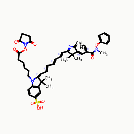 C=C1N=C(/C=C/C=C/C=C/C=C2/N(CCCCCC(=O)ON3C(=O)CCC3=O)c3ccc(S(=O)(=O)O)cc3C2(C)C)C(C)(C)/C1=C/C(=C\C)C(=O)N(C)Oc1ccccc1